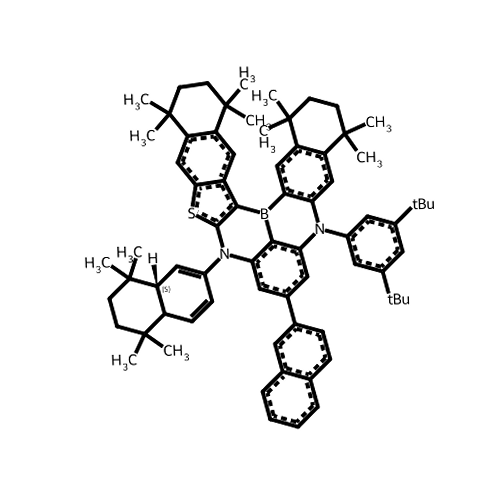 CC(C)(C)c1cc(N2c3cc4c(cc3B3c5c(cc(-c6ccc7ccccc7c6)cc52)N(C2=C[C@@H]5C(C=C2)C(C)(C)CCC5(C)C)c2sc5cc6c(cc5c23)C(C)(C)CCC6(C)C)C(C)(C)CCC4(C)C)cc(C(C)(C)C)c1